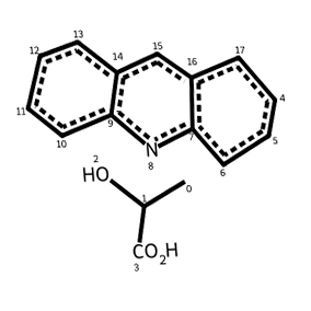 CC(O)C(=O)O.c1ccc2nc3ccccc3cc2c1